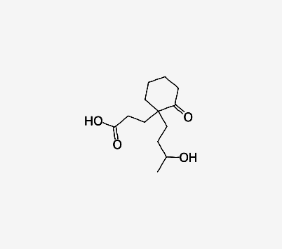 CC(O)CCC1(CCC(=O)O)CCCCC1=O